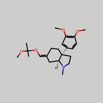 COc1ccc([C@@]23CC/C(=C\OC(C)(C)OC)C[C@@H]2N(C)CC3)cc1OC